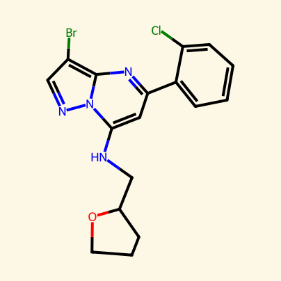 Clc1ccccc1-c1cc(NCC2CCCO2)n2ncc(Br)c2n1